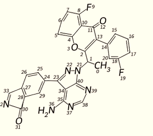 CC(c1oc2cccc(F)c2c(=O)c1-c1cccc(F)c1)n1nc(-c2ccc3c(c2)C(=O)N=C3)c2c(N)ncnc21